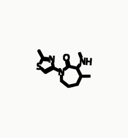 CNC1C(=O)N(c2csc(C)n2)CCCC1C